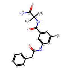 CC(C)(NC(=O)c1cc(C#N)cc(NC(=O)Cc2ccccc2)c1)C(N)=O